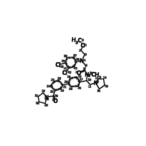 COCCN(CC(=O)N(C)C(CN1CCCC1)c1ccc(-c2cccc(C(=O)N3CCCC3)c2)cc1)c1ccc(Cl)c(Cl)c1